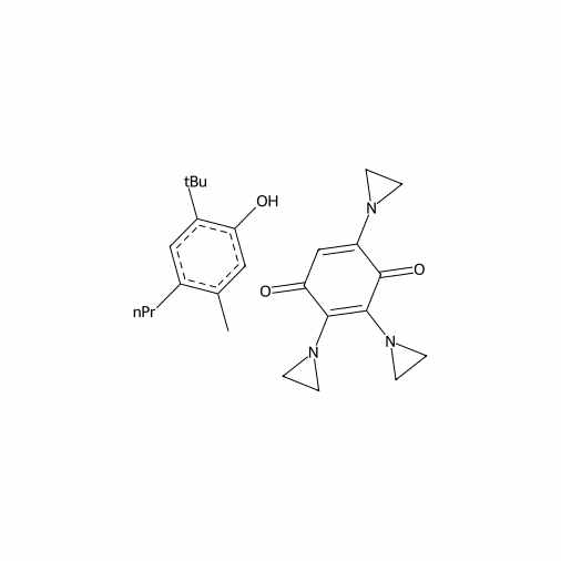 CCCc1cc(C(C)(C)C)c(O)cc1C.O=C1C=C(N2CC2)C(=O)C(N2CC2)=C1N1CC1